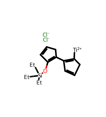 CC[Si](CC)(CC)OC1=C(C2=[C]([Ti+2])CC=C2)CC=C1.[Cl-].[Cl-]